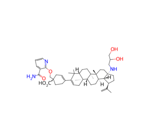 C=C(C)[C@@H]1CC[C@]2(NCC(O)CO)CC[C@]3(C)[C@H](CC[C@@H]4[C@@]5(C)CC=C(C6=CC[C@](COc7ncccc7C(N)=O)(C(=O)O)CC6)C(C)(C)[C@@H]5CC[C@]43C)[C@@H]12